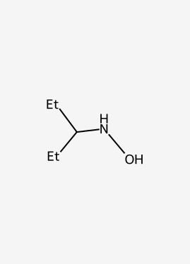 CCC(CC)NO